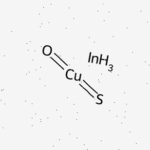 [InH3].[O]=[Cu]=[S]